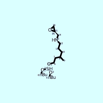 CCCCO[SiH](OCCCC)OCCC(C)CCCNC[C@@H]1CO1